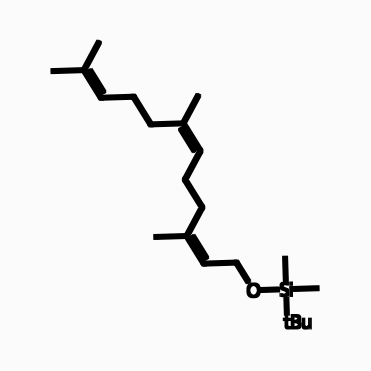 CC(C)=CCCC(C)=CCCC(C)=CCO[Si](C)(C)C(C)(C)C